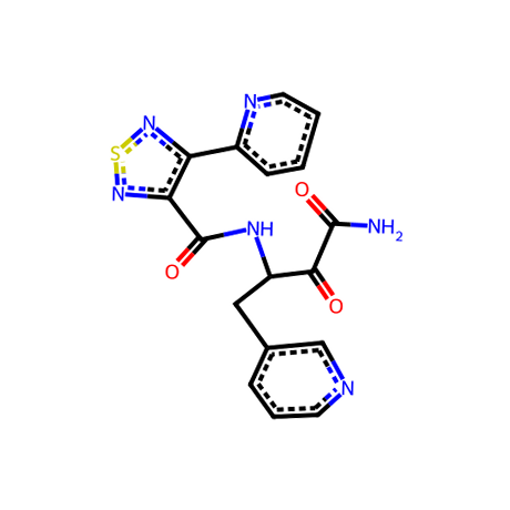 NC(=O)C(=O)C(Cc1cccnc1)NC(=O)c1nsnc1-c1ccccn1